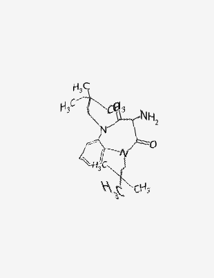 CC(C)(C)CN1C(=O)C(N)C(=O)N(CC(C)(C)C)c2ccccc21